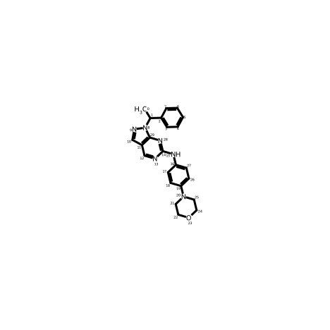 CC(c1ccccc1)n1ncc2cnc(Nc3ccc(N4CCOCC4)cc3)nc21